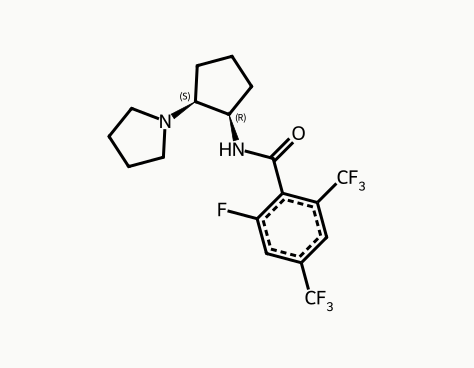 O=C(N[C@@H]1CCC[C@@H]1N1CCCC1)c1c(F)cc(C(F)(F)F)cc1C(F)(F)F